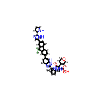 O=C(O)N[C@H](C(=O)N1[C@@H]2CC[C@H](C2)[C@H]1c1nc2ccc(-c3ccc4c(c3)C(F)(F)c3cc(-c5cnc([C@@H]6CCCN6)[nH]5)ccc3-4)cc2[nH]1)C1CCOCC1